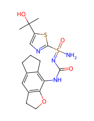 CC(C)(O)c1cnc(S(N)(=O)=NC(=O)Nc2c3c(cc4c2OCC4)CCC3)s1